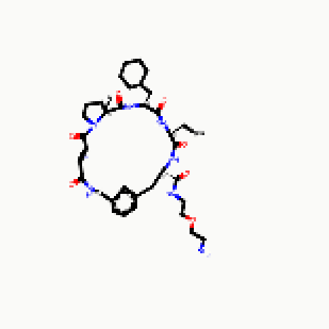 CC(C)(C)C[C@@H]1NC(=O)[C@H](CC2CCCCC2)NC(=O)[C@H]2CCCN2C(=O)/C=C/C(=O)NCc2cccc(c2)C[C@@H](C(=O)NCCOCCN)NC1=O